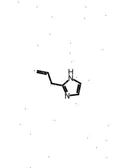 [CH]=CCc1ncc[nH]1